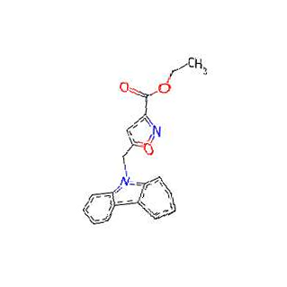 CCOC(=O)c1cc(Cn2c3ccccc3c3ccccc32)on1